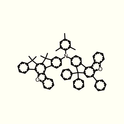 Cc1cc(C)c(N(c2ccc3c(c2)C(C)(C)c2c4c(c5oc6ccccc6c5c2-3)-c2ccccc2C4(C)C)c2ccc3c(c2)C(c2ccccc2)(c2ccccc2)c2cc(-c4ccccc4)c4oc5ccccc5c4c2-3)c(C)c1